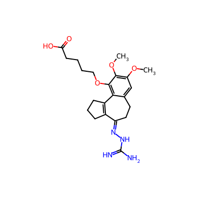 COc1cc2c(c(OCCCCC(=O)O)c1OC)C1=C(CCC1)C(=NNC(=N)N)CC2